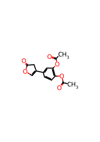 CC(=O)Oc1ccc(C2=COC(=O)C2)cc1OC(C)=O